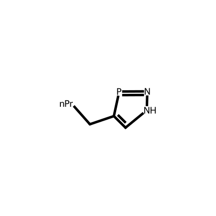 CCCCc1c[nH]np1